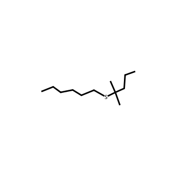 CCCCCCSC(C)(C)CCC